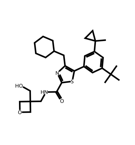 CC(C)(C)c1cc(-c2sc(C(=O)NCC3(CO)COC3)nc2CC2CCCCC2)cc(C2(C)CC2)c1